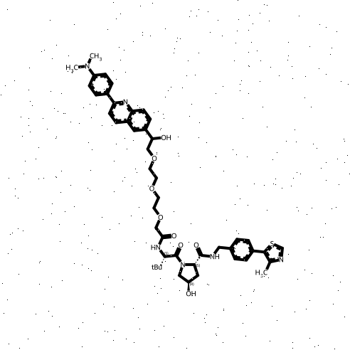 Cc1ncsc1-c1ccc(CNC(=O)[C@@H]2C[C@@H](O)CN2C(=O)[C@@H](NC(=O)COCCOCCOCC(O)c2ccc3nc(-c4ccc(N(C)C)cc4)ccc3c2)C(C)(C)C)cc1